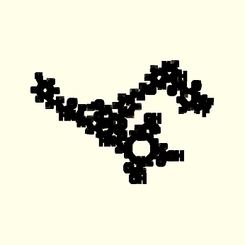 C=C(C)[C@H]1CC(F)(F)CN1C(=O)CNC(=O)c1ccnc2ccc(OCCCN3CCN(C(=O)[C@H](CC(=O)OC)NC(=O)[C@H](CCCC/N=C(\C)NC(=O)CCCc4ccc(C)cc4)NC(=O)CN4CCN(CC(=O)O)CCN(CC(=O)O)CCN(CC(=O)O)CC4)CC3)cc12